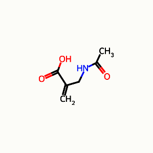 C=C(CNC(C)=O)C(=O)O